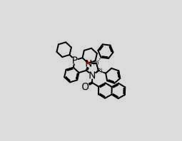 O=C(c1ccc2ccccc2c1)N1C(c2ccccc2P(C2CCCCC2)C2CCCCC2)=N[C@H](c2ccccc2)[C@H]1C1C=CC=CC1